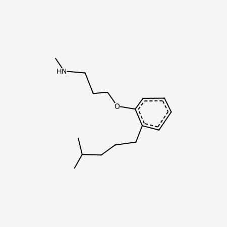 CNCCCOc1ccccc1CCCC(C)C